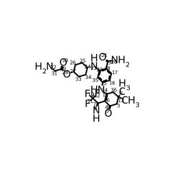 CC1(C)CC(=O)C(C(=N)C(F)(F)F)=C(Nc2ccc(C(N)=O)c(N[C@H]3CC[C@H](OC(=O)CN)CC3)c2)C1